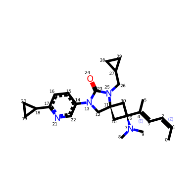 C/C=C\C=C(/C)[C@]1(N(C)C)C[C@]2(CN(c3ccc(C4CC4)nc3)C(=O)N2CC2CC2)C1